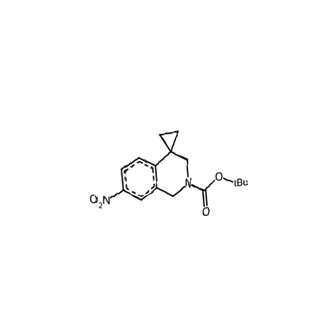 CC(C)(C)OC(=O)N1Cc2cc([N+](=O)[O-])ccc2C2(CC2)C1